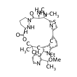 CCn1c(-c2cccnc2[C@H](C)OC)c2c3cc(ccc31)-c1csc(n1)C(N(C)C)[C@H](N)C(=O)N1CCC[C@H](N1)C(=O)OCC(C)(C)C2